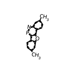 Cc1ccc2c(c1)npc1c3ccc(C)cc3oc21